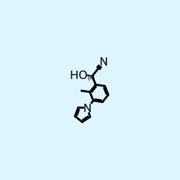 Cc1c([C@@H](O)C#N)cccc1-n1cccc1